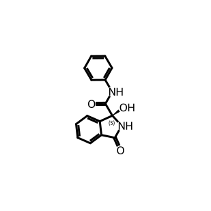 O=C1N[C@@](O)(C(=O)Nc2ccccc2)c2ccccc21